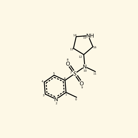 Cc1ncccc1S(=O)(=O)N(C)C1CCNC1